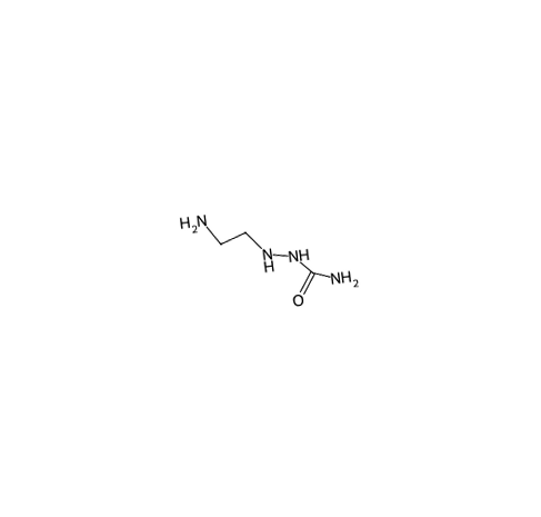 NCCNNC(N)=O